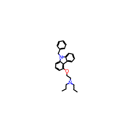 CCCN(CCC)CCOc1cccc2c1c1ccccc1n2Cc1ccccc1